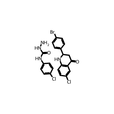 NNC(=O)Nc1ccc(Cl)cc1.O=C1CC(c2ccc(Br)cc2)Nc2ccc(Cl)cc21